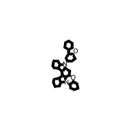 c1ccc2c(c1)Oc1cc3c(c4ccccc4n3-c3ccc4oc5ccccc5c4c3)c3c4ccccc4n-2c13